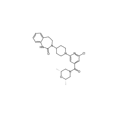 C[C@@H]1CN(C(=O)c2cc(Cl)nc(N3CCC(N4CCc5ccccc5NC4=O)CC3)c2)C[C@H](C)O1